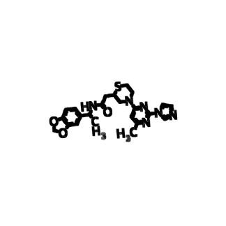 Cc1cc(N2CCSC(CC(=O)NC(C)c3ccc4c(c3)OCO4)C2)nc(-n2ccnc2)n1